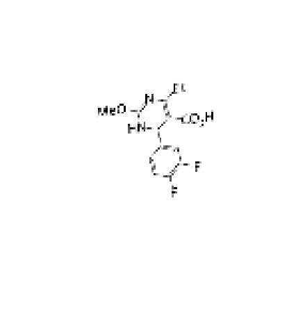 CCC1=C(C(=O)O)C(c2ccc(F)c(F)c2)NC(OC)=N1